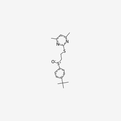 Cc1cc(C)nc(SCC[S+]([O-])c2ccc(C(C)(C)C)cc2)n1